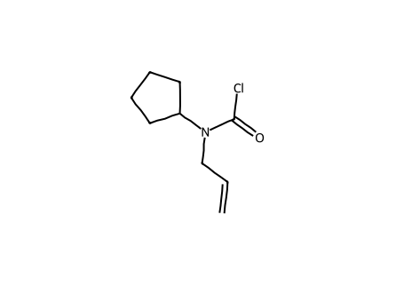 C=CCN(C(=O)Cl)C1CCCC1